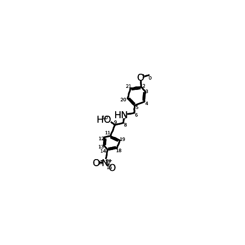 COc1ccc(CNCC(O)c2ccc([N+](=O)[O-])cc2)cc1